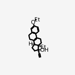 C#C[C@]1(O)CC[C@H]2C3=C(CC[C@@]21CC)c1ccc(OCC)cc1CC3